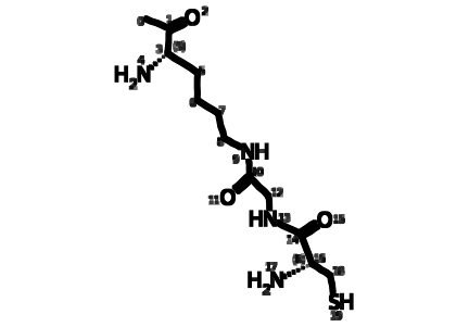 CC(=O)[C@@H](N)CCCCNC(=O)CNC(=O)[C@@H](N)CS